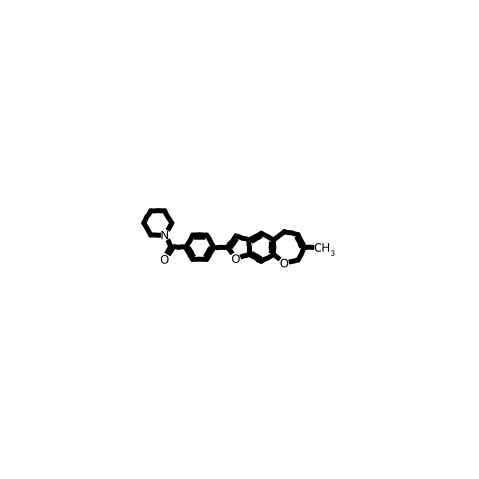 CC1=CCc2cc3cc(-c4ccc(C(=O)N5CCCCC5)cc4)oc3cc2OC1